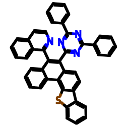 c1ccc(-c2nc(-c3ccccc3)nc(-c3c(-c4nccc5ccccc45)c4ccccc4c4c3ccc3c5ccccc5sc34)n2)cc1